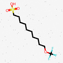 O=S(=O)(O)CCCCCCCCCCOC(F)(F)F